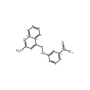 Cc1cc(COc2[c]ccc([N+](=O)[O-])c2)c2ccccc2n1